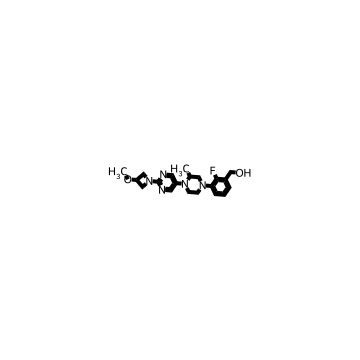 COC1CN(c2ncc(N3CCN(c4cccc(CO)c4F)CC3C)cn2)C1